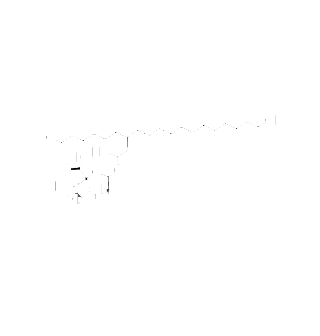 CCCCCCCCCCCCCC(CCCCCCC)CC(S)OC(CC)OC(O)([PH2]=O)C(=O)O